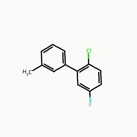 Cc1cccc(-c2cc(F)ccc2Cl)c1